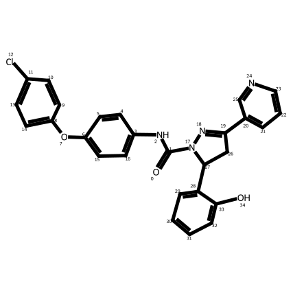 O=C(Nc1ccc(Oc2ccc(Cl)cc2)cc1)N1N=C(c2cccnc2)CC1c1ccccc1O